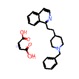 O=C(O)/C=C\C(=O)O.c1ccc(CN2CCC(CCc3nccc4ccccc34)CC2)cc1